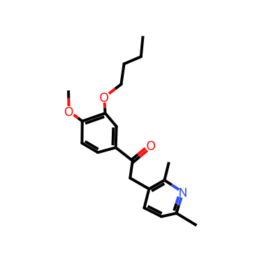 CCCCOc1cc(C(=O)Cc2ccc(C)nc2C)ccc1OC